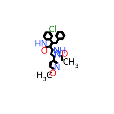 CCC(=O)N1NC(c2c(Cc3ccccc3)c3cc(Cl)ccc3[nH]c2=O)CC1c1ccc(OC)nc1